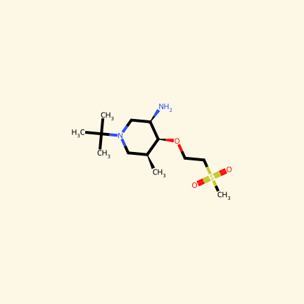 C[C@H]1CN(C(C)(C)C)C[C@@H](N)[C@H]1OCCS(C)(=O)=O